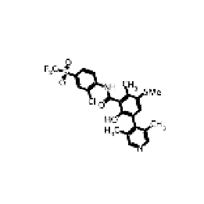 CSc1cc(-c2c(C)cncc2C)c(O)c(C(=O)Nc2ccc(S(=O)(=O)C(F)(F)F)cc2Cl)c1C